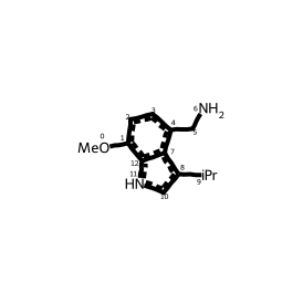 COc1ccc(CN)c2c(C(C)C)c[nH]c12